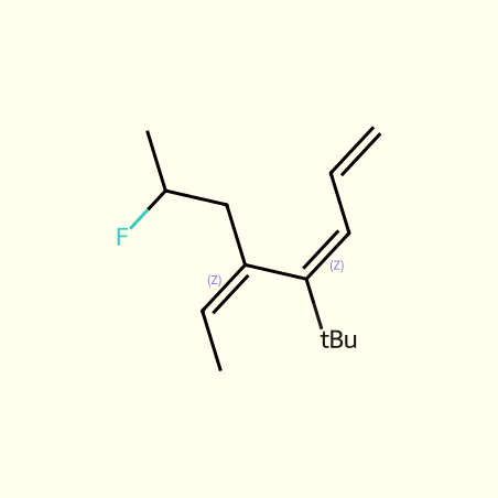 C=C/C=C(\C(=C/C)CC(C)F)C(C)(C)C